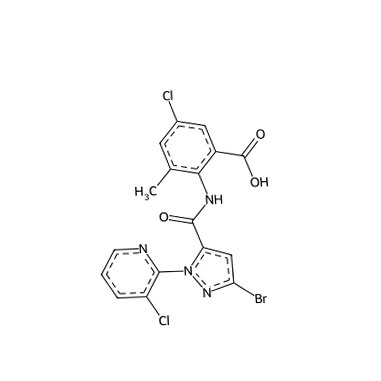 Cc1cc(Cl)cc(C(=O)O)c1NC(=O)c1cc(Br)nn1-c1ncccc1Cl